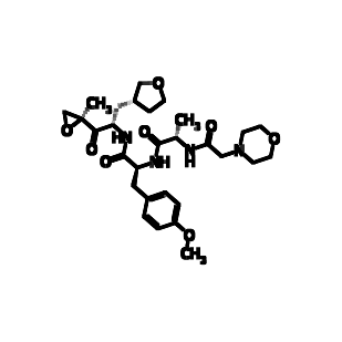 COc1ccc(C[C@H](NC(=O)[C@H](C)NC(=O)CN2CCOCC2)C(=O)N[C@@H](C[C@H]2CCOC2)C(=O)[C@]2(C)CO2)cc1